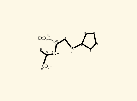 CCOC(=O)[C@H](CSC1CCCC1)NC(C)C(=O)O